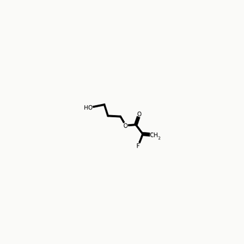 C=C(F)C(=O)OCCCO